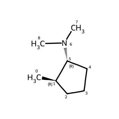 C[C@@H]1CCC[C@H]1N(C)C